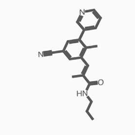 CCCNC(=O)/C(C)=C/c1cc(C#N)cc(-c2cccnc2)c1C